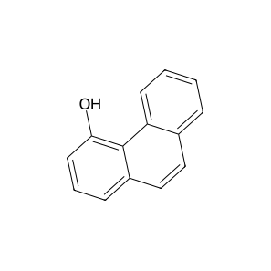 Oc1cccc2ccc3ccccc3c12